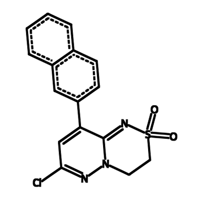 O=S1(=O)CCN2N=C(Cl)C=C(c3ccc4ccccc4c3)C2=N1